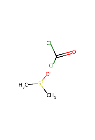 C[S+](C)[O-].O=C(Cl)Cl